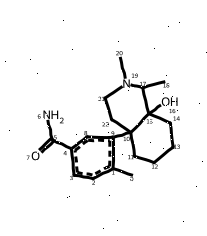 Cc1ccc(C(N)=O)cc1C12CCCCC1(O)C(C)N(C)CC2